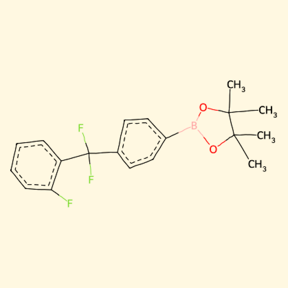 CC1(C)OB(c2ccc(C(F)(F)c3ccccc3F)cc2)OC1(C)C